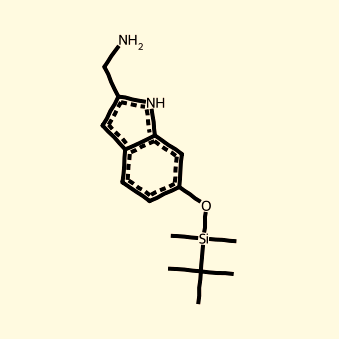 CC(C)(C)[Si](C)(C)Oc1ccc2cc(CN)[nH]c2c1